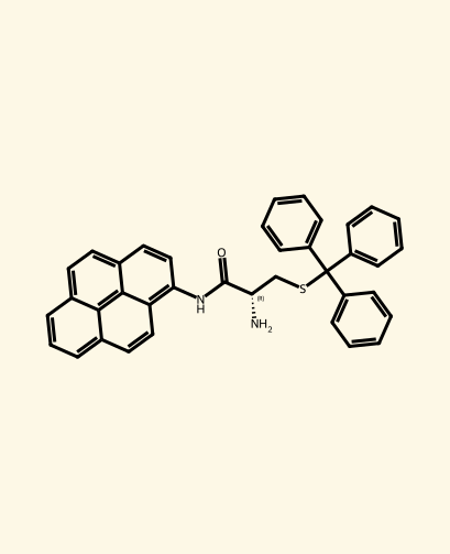 N[C@@H](CSC(c1ccccc1)(c1ccccc1)c1ccccc1)C(=O)Nc1ccc2ccc3cccc4ccc1c2c34